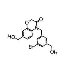 O=C1COc2cc(CO)ccc2N1Cc1cc(Br)cc(CO)c1